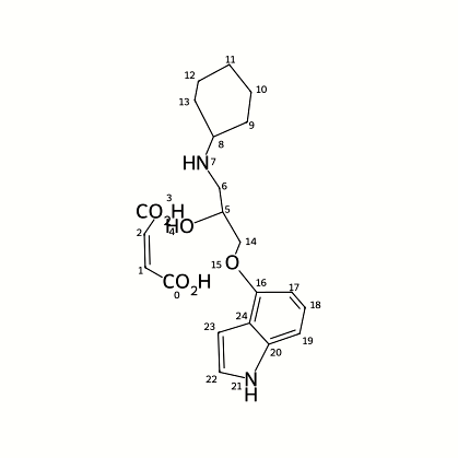 O=C(O)/C=C\C(=O)O.OC(CNC1CCCCC1)COc1cccc2[nH]ccc12